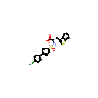 O=C(O)[C@@H](Cc1csc2ccccc12)NS(=O)(=O)c1ccc(-c2ccc(Cl)cc2)cc1